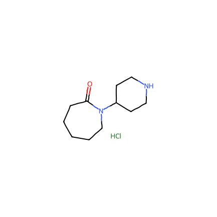 Cl.O=C1CCCCCN1C1CCNCC1